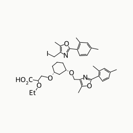 CCOC(CO[C@@H]1CCC[C@H](OCc2nc(-c3ccc(C)cc3C)oc2C)C1)C(=O)O.Cc1ccc(-c2nc(CI)c(C)o2)c(C)c1